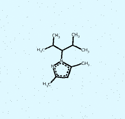 Cc1cc(C)n(C(C(C)C)C(C)C)n1